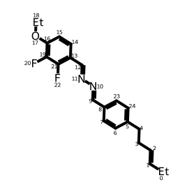 CCC=CCCc1ccc(C=NN=Cc2ccc(OCC)c(F)c2F)cc1